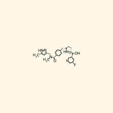 Cc1cc(CN(C)C(=O)c2ccc(C[C@@H]3CC[C@H]([C@H](O)c4cncc(F)c4)N3)cc2)n[nH]1